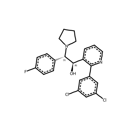 O[C@H](c1cccnc1-c1cc(Cl)cc(Cl)c1)[C@H](c1ccc(F)cc1)N1CCCC1